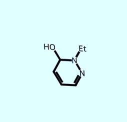 CCN1N=CC=CC1O